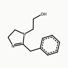 OCCN1CCN=C1Cc1ccccc1